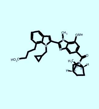 COc1cc(C(=O)N2C[C@H]3CC[C@@H]2[C@@H]3C)cc2nc(-c3cc4cccc(CCCC(=O)O)c4n3CC3CC3)n(C)c12